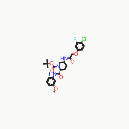 COc1cccc(NC(=O)[C@H]2CC[C@H](NC(=O)COc3ccc(Cl)c(F)c3)CN2C(=O)OC(C)(C)C)c1